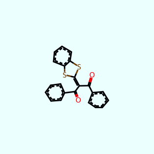 O=C(C(C(=O)c1ccccc1)=C1Sc2ccccc2S1)c1ccccc1